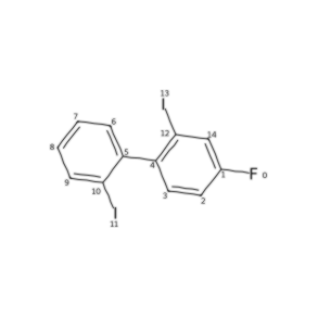 Fc1ccc(-c2ccccc2I)c(I)c1